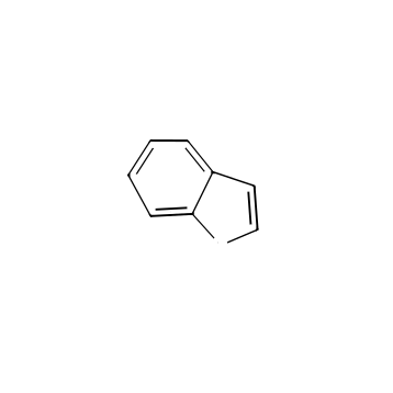 [c]1[c]c2[c]cccc2s1